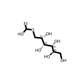 CCC(O)OC[C@H](O)[C@@H](O)[C@H](O)[C@H](O)CO